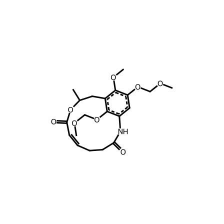 COCOc1cc2c(OCOC)c(c1OC)CC(C)OC(=O)C=CCCC(=O)N2